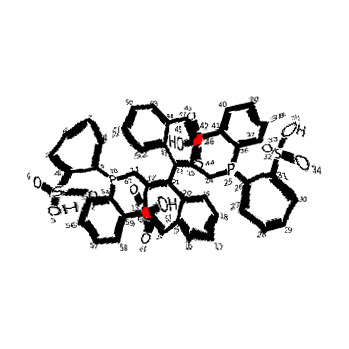 O=S(=O)(O)c1ccccc1P(Cc1ccc2ccccc2c1-c1c(CP(c2ccccc2S(=O)(=O)O)c2ccccc2S(=O)(=O)O)ccc2ccccc12)c1ccccc1S(=O)(=O)O